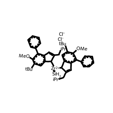 COc1c(C(C)(C)C)cc2c(c1-c1ccccc1)C=C(CC(C)C)[CH]2[Zr+2](=[SiH2])[CH]1C(CC(C)C)=Cc2c1cc(C(C)(C)C)c(OC)c2-c1ccccc1.[Cl-].[Cl-]